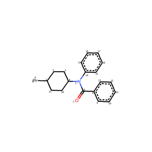 CC(C)C1CCC(N(C(=O)c2ccccc2)c2ccccc2)CC1